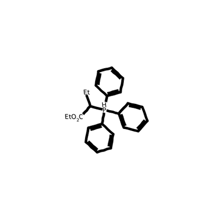 CCOC(=O)C(CC)[PH](c1ccccc1)(c1ccccc1)c1ccccc1